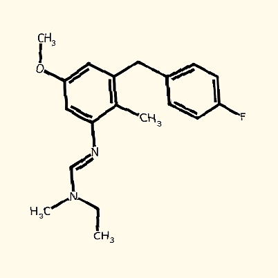 CCN(C)C=Nc1cc(OC)cc(Cc2ccc(F)cc2)c1C